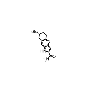 CC(C)(C)[C@H]1CCc2nc3cc(C(N)=O)[nH]c3cc2C1